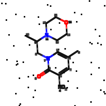 Cc1cc([N+](=O)[O-])c(=O)n(CC(C)N2CCOCC2)c1